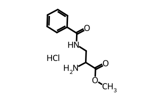 COC(=O)C(N)CNC(=O)c1ccccc1.Cl